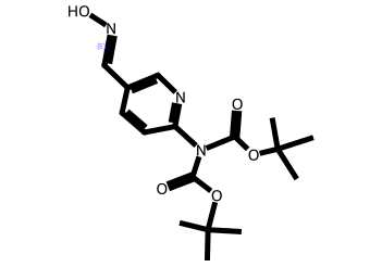 CC(C)(C)OC(=O)N(C(=O)OC(C)(C)C)c1ccc(/C=N/O)cn1